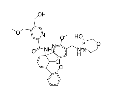 COCc1cc(C(=O)NC2(c3ccc(CN[C@@H]4CCOC[C@H]4O)c(OC)n3)C=CC=C(c3ccccc3Cl)C2Cl)ncc1CO